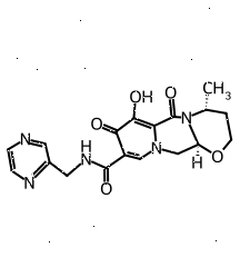 C[C@@H]1CCO[C@H]2Cn3cc(C(=O)NCc4cnccn4)c(=O)c(O)c3C(=O)N12